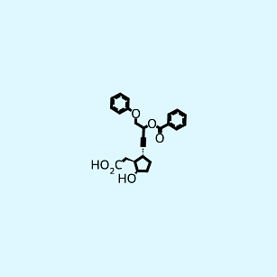 O=C(O)C[C@@H]1[C@H](O)CC[C@H]1C#CC(COc1ccccc1)OC(=O)c1ccccc1